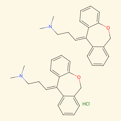 CN(C)CCC=C1c2ccccc2COc2ccccc21.CN(C)CCC=C1c2ccccc2COc2ccccc21.Cl